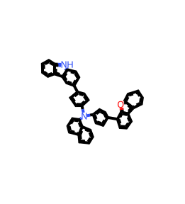 c1ccc2c(N(c3ccc(-c4ccc5[nH]c6ccccc6c5c4)cc3)c3ccc(-c4cccc5c4oc4ccccc45)cc3)cccc2c1